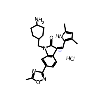 Cc1cc(C)c(/C=C2\C(=O)N(CC3CCC(N)CC3)c3cc(-c4noc(C)n4)ccc32)[nH]1.Cl